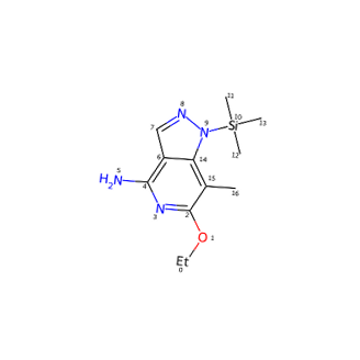 CCOc1nc(N)c2cnn([Si](C)(C)C)c2c1C